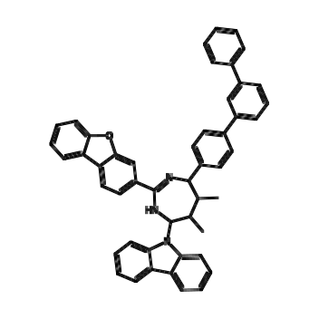 CC1C(c2ccc(-c3cccc(-c4ccccc4)c3)cc2)N=C(c2ccc3c(c2)oc2ccccc23)NC(n2c3ccccc3c3ccccc32)C1C